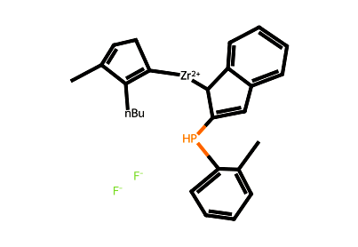 CCCCC1=[C]([Zr+2][CH]2C(Pc3ccccc3C)=Cc3ccccc32)CC=C1C.[F-].[F-]